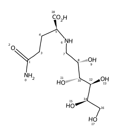 NC(=O)CC[C@H](NC[C@H](O)[C@@H](O)[C@@H](O)[C@H](O)CO)C(=O)O